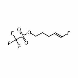 O=S(=O)(OCCCC=CF)C(F)(F)F